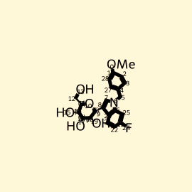 COc1ccc(Cn2cc([C@@H]3O[C@H](CO)[C@@H](O)[C@H](O)[C@H]3O)c3ccc(F)cc32)cc1